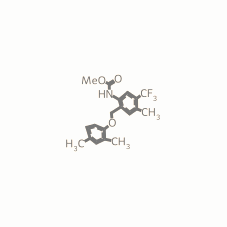 COC(=O)Nc1cc(C(F)(F)F)c(C)cc1COc1ccc(C)cc1C